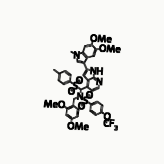 COc1ccc(CN(C(c2ccnc3[nH]c(-c4cn(C)c5cc(OC)c(OC)cc45)cc23)S(=O)(=O)c2ccc(C)cc2)S(=O)(=O)c2ccc(OC(F)(F)F)cc2)c(OC)c1